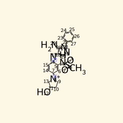 CS(=O)(=O)NC1=CC(=[N+]2\CCC(O)C2)/C=CC/1=N/c1cnn(-c2ccccc2)c1N